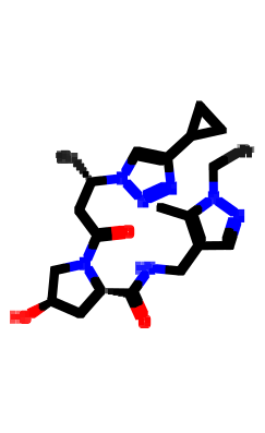 Cc1c(CNC(=O)[C@@H]2C[C@@H](O)CN2C(=O)C[C@@H](n2cc(C3CC3)nn2)C(C)(C)C)cnn1CC(C)C